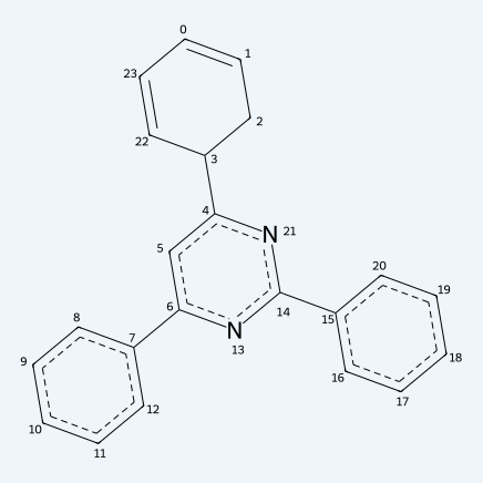 C1=CCC(c2cc(-c3ccccc3)nc(-c3ccccc3)n2)C=C1